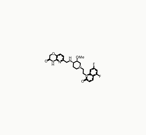 CO[C@H]1CN(CCn2c(=O)ccc3c(F)cc(F)cc32)CC[C@H]1NCc1ccc2c(n1)NC(=O)CO2